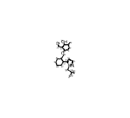 Cc1ccc(OCC2CCCCC2c2ccnn2CC(F)F)c(C=O)c1O